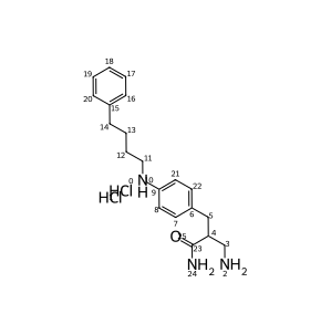 Cl.Cl.NCC(Cc1ccc(NCCCCc2ccccc2)cc1)C(N)=O